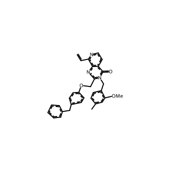 C=Cc1nccc2c(=O)n(Cc3ccc(C)cc3OC)c(COc3ccc(Cc4ccccc4)cc3)nc12